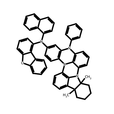 CC12CCCCC1(C)N1c3cccc4c3B(c3ccc(N(c5cccc6ccccc56)c5cccc6oc7ccccc7c56)cc3N4c3ccccc3)c3cccc2c31